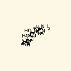 Nc1ncnc2c1ncn2[C@@H]1O[C@H](CN2CC3(CCN3)C2)[C@@H](O)[C@H]1O